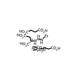 CC(=O)O.CC(=O)O.CCNNN[C@@H](CC(=O)O)C(=O)O.O=C(O)CCC(=O)O.O=C(O)CCC(=O)O